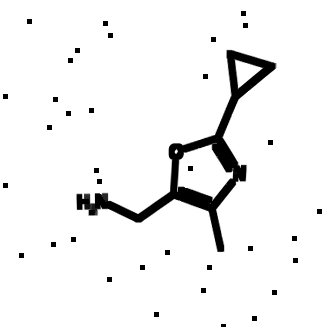 Cc1nc(C2CC2)oc1CN